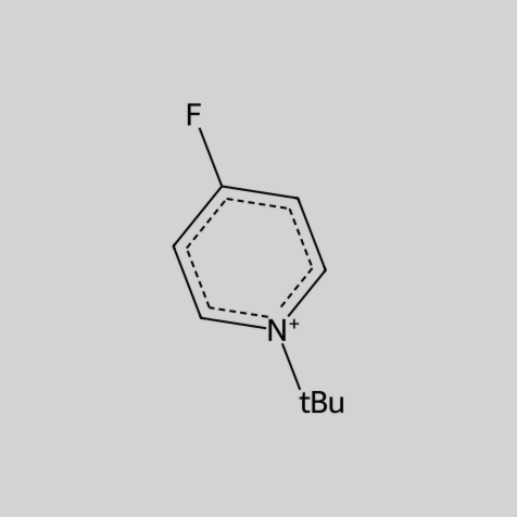 CC(C)(C)[n+]1ccc(F)cc1